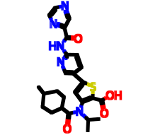 CC1CCC(C(=O)N(c2cc(-c3ccc(NC(=O)c4cnccn4)nc3)sc2C(=O)O)C(C)C)CC1